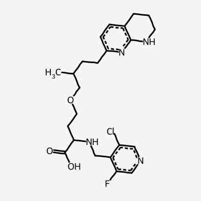 CC(CCc1ccc2c(n1)NCCC2)COCCC(NCc1c(F)cncc1Cl)C(=O)O